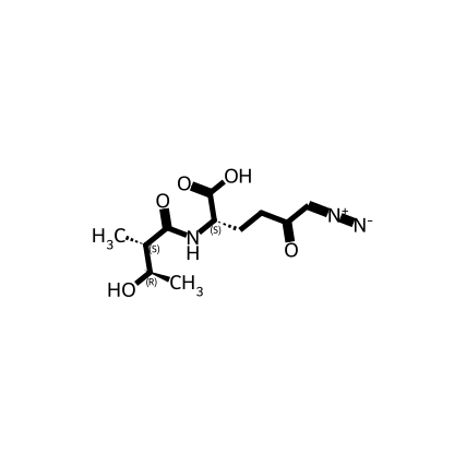 C[C@H](C(=O)N[C@@H](CCC(=O)C=[N+]=[N-])C(=O)O)[C@@H](C)O